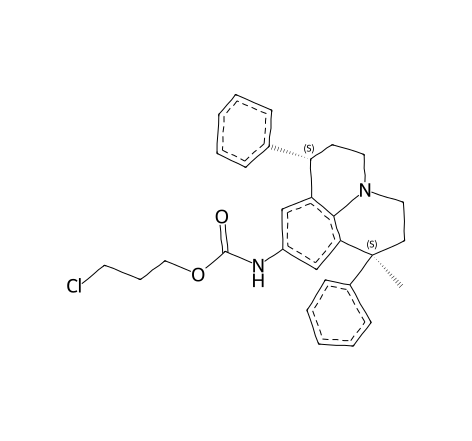 C[C@@]1(c2ccccc2)CCN2CC[C@@H](c3ccccc3)c3cc(NC(=O)OCCCCl)cc1c32